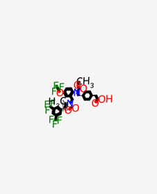 COC(=O)N(C[C@H]1CC[C@H](CC(=O)O)CC1)c1ccc(OC(F)(F)F)cc1CN1C(=O)O[C@H](c2cc(C(F)(F)F)cc(C(F)(F)F)c2)[C@@H]1C